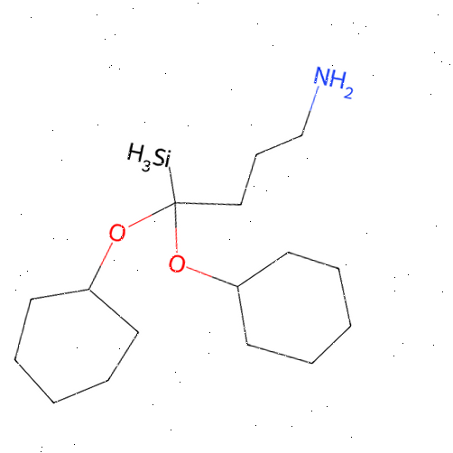 NCCCC([SiH3])(OC1CCCCC1)OC1CCCCC1